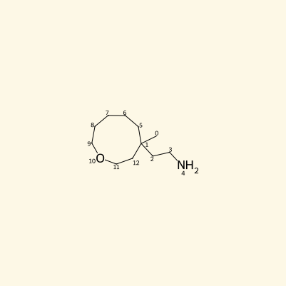 CC1(CCN)CCCCCOCC1